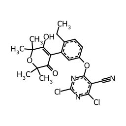 CCc1ccc(Oc2nc(Cl)nc(Cl)c2C#N)cc1C1=C(O)C(C)(C)OC(C)(C)C1=O